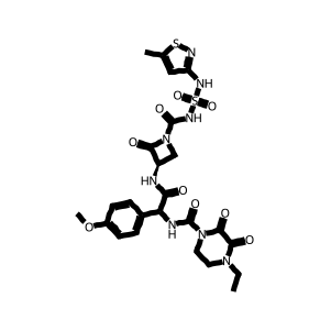 CCN1CCN(C(=O)NC(C(=O)N[C@@H]2CN(C(=O)NS(=O)(=O)Nc3cc(C)sn3)C2=O)c2ccc(OC)cc2)C(=O)C1=O